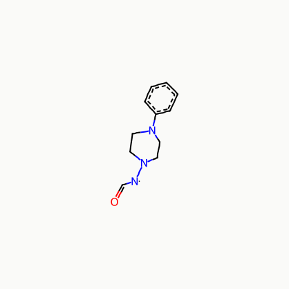 O=C[N]N1CCN(c2ccccc2)CC1